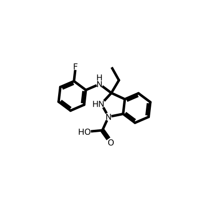 CCC1(Nc2ccccc2F)NN(C(=O)O)c2ccccc21